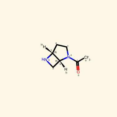 O=C(N1CC[C@H]2NC[C@H]21)C(F)(F)F